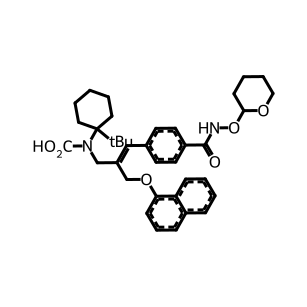 CC(C)(C)C1(N(CC(=Cc2ccc(C(=O)NOC3CCCCO3)cc2)COc2cccc3ccccc23)C(=O)O)CCCCC1